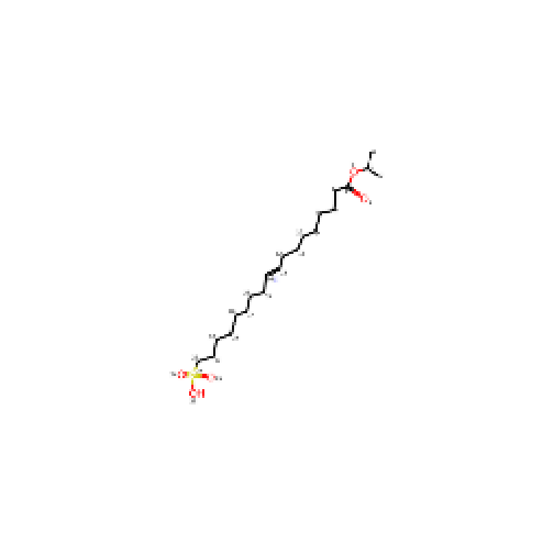 CC(C)OC(=O)CCCCCCC/C=C/CCCCCCCCS(=O)(=O)O